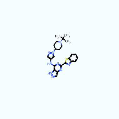 CC(C)(C)N1CCC(n2cc(Nc3nc(-c4nc5ccccc5s4)nc4cn[nH]c34)cn2)CC1